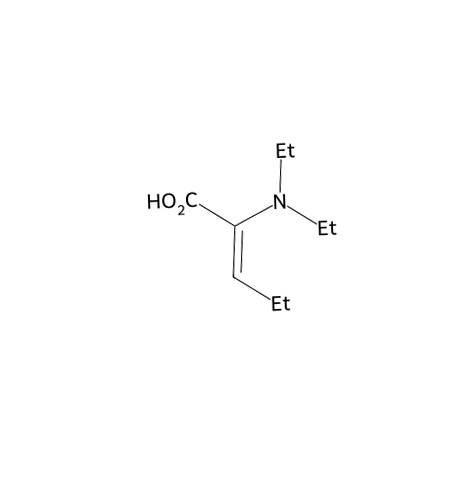 CCC=C(C(=O)O)N(CC)CC